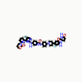 O=C1CCC(Nc2ccc(C3CCN([C@H]4CC[C@H](NC(=O)[C@H]5CC[C@H](Nc6ncc(F)c(-c7cccc(N8CCCOC8=O)n7)n6)CC5)CC4)CC3)c(F)c2)C(=O)N1